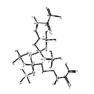 C=C(C)C(=O)N(C)CCC[Si](O[Si](C)(C)C)(O[Si](C)(C)C)O[Si](CCCN(C)C(=O)C(=C)C)(O[Si](C)(C)C)O[Si](C)(C)C